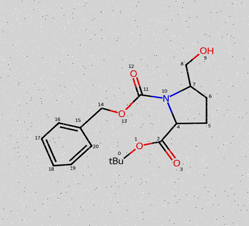 CC(C)(C)OC(=O)C1CCC(CO)N1C(=O)OCc1ccccc1